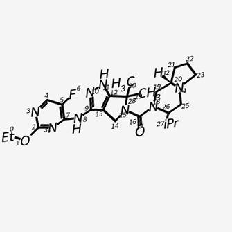 CCOc1ncc(F)c(Nc2n[nH]c3c2CN(C(=O)N2C[C@@H]4CCCN4CC2C(C)C)C3(C)C)n1